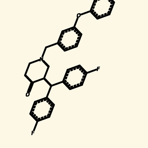 O=C1CCN(Cc2cccc(Oc3ccccc3)c2)CC1C(c1ccc(F)cc1)c1ccc(F)cc1